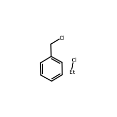 CCCl.ClCc1ccccc1